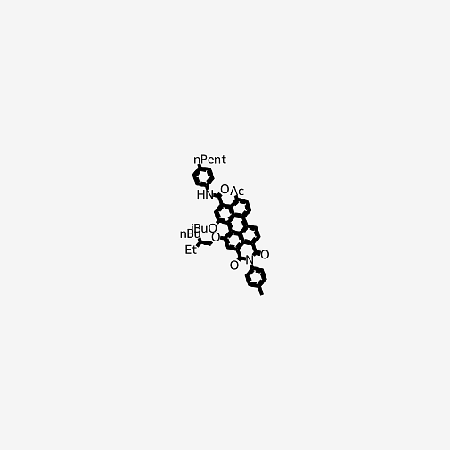 CCCCCc1ccc(NC(=O)c2cc(OCC(C)C)c3c4c(OCC(CC)CCCC)cc5c6c(ccc(c7ccc(C(C)=O)c2c73)c64)C(=O)N(c2ccc(C)cc2)C5=O)cc1